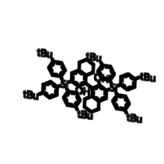 CC(C)(C)c1ccc([Si](c2ccc(C(C)(C)C)cc2)(c2ccc(C(C)(C)C)cc2)c2cc3c(c(-c4c(O)c([Si](c5ccc(C(C)(C)C)cc5)(c5ccc(C(C)(C)C)cc5)c5ccc(C(C)(C)C)cc5)cc5c4CCCC5)c2O)CCCC3)cc1